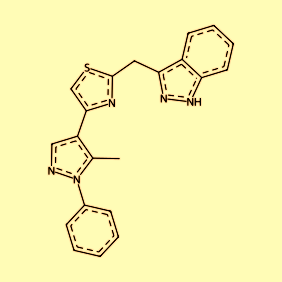 Cc1c(-c2csc(Cc3n[nH]c4ccccc34)n2)cnn1-c1ccccc1